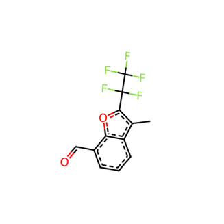 Cc1c(C(F)(F)C(F)(F)F)oc2c(C=O)cccc12